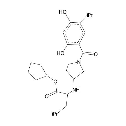 CC(C)CC(NC1CCN(C(=O)c2cc(C(C)C)c(O)cc2O)C1)C(=O)OC1CCCC1